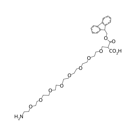 NCCOCCOCCOCCOCCOCCOCCOCCOCC(C(=O)O)C(=O)OCC1c2ccccc2-c2ccccc21